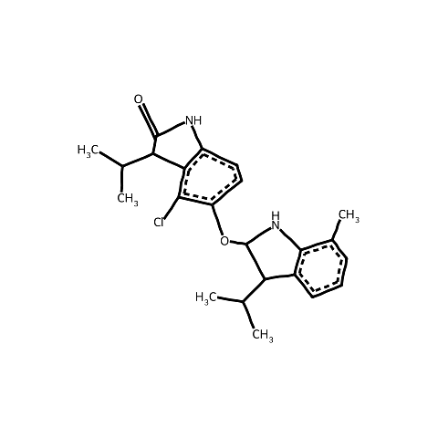 Cc1cccc2c1NC(Oc1ccc3c(c1Cl)C(C(C)C)C(=O)N3)C2C(C)C